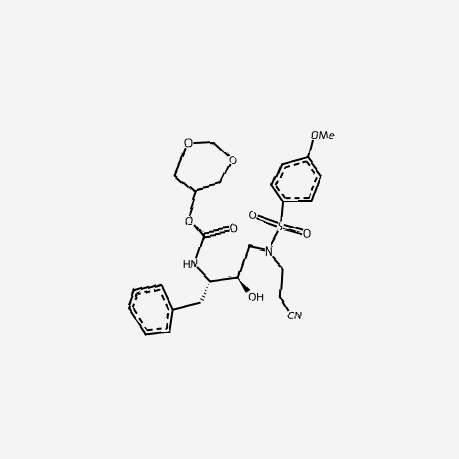 COc1ccc(S(=O)(=O)N(CCC#N)C[C@@H](O)[C@H](Cc2ccccc2)NC(=O)OC2COCOC2)cc1